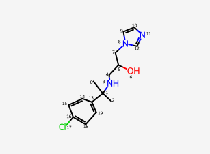 CC(C)(NCC(O)Cn1ccnc1)c1ccc(Cl)cc1